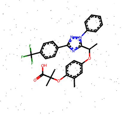 Cc1cc(OC(C)c2nc(-c3ccc(C(F)(F)F)cc3)nn2-c2ccccc2)ccc1OC(C)(C)C(=O)O